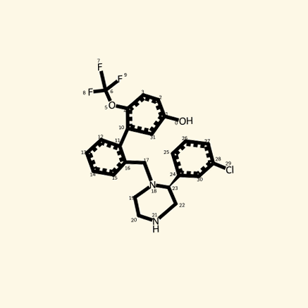 Oc1ccc(OC(F)(F)F)c(-c2ccccc2CN2CCNC[C@@H]2c2cccc(Cl)c2)c1